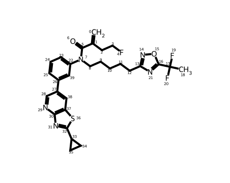 C=C(CCF)C(=O)N(CCCCCc1noc(C(C)(F)F)n1)c1cccc(-c2cnc3nc(C4CC4)sc3c2)c1